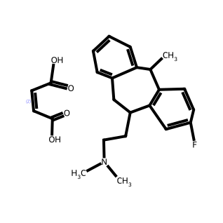 CC1c2ccccc2CC(CCN(C)C)c2cc(F)ccc21.O=C(O)/C=C\C(=O)O